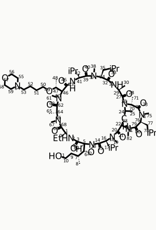 CC[C@@H]1NC(=O)[C@@H]2[C@@H]([C@H](C)CCO)ON2C(=O)[C@H](C(C)C)N(C)C(=O)[C@@H]2CC(C)N(C(=O)[C@H](C)NC(=O)[C@H](CC(C)C)N(C)C(=O)[C@H](C(C)C)NC(=O)C([C@@H](C)OCCCCN3CCOCC3)N(C)C(=O)[C@@H](C)N(C)C1=O)[C@H](C)C(=O)N(C)[C@@H](CC(C)C)C(=O)N2C